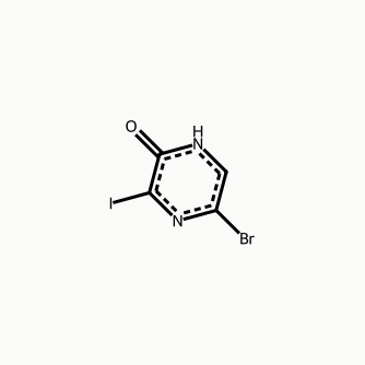 O=c1[nH]cc(Br)nc1I